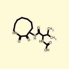 CC(C)C(NC(=O)O)C(=O)NC1CCCCCCCNC(=O)C1=O